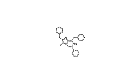 C=c1c(Cc2ccccc2)nc2n1C=C(c1ccccc1)NC=2Cc1ccccc1